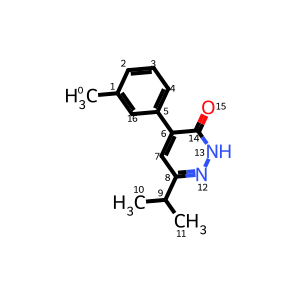 Cc1cccc(-c2cc(C(C)C)n[nH]c2=O)c1